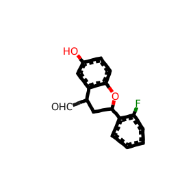 O=CC1CC(c2ccccc2F)Oc2ccc(O)cc21